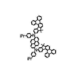 CC(C)c1ccc(N(c2ccc3c(c2)C(C)(C)c2ccc4c5ccccc5c5ccccc5c4c2-3)c2ccc3ccc4c(N(c5ccc(C(C)C)cc5)c5ccc6c(c5)C(C)(C)c5ccc7c8ccccc8c8ccccc8c7c5-6)ccc5ccc2c3c54)cc1